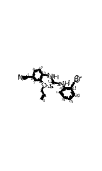 C=CCOc1cc(C#N)ccc1NC(=S)Nc1ccccc1Br